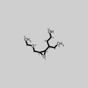 CCOCC1OC1C(CC)CCO